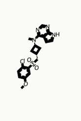 COc1ccc(Cl)c(S(=O)(=O)C[C@H]2C[C@@H](N(C)c3ncnc4[nH]ccc34)C2)c1